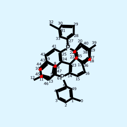 Cc1cccc(P(c2cccc(C)c2)c2ccc3ccccc3c2-c2c(P(c3cccc(C)c3)c3cccc(C)c3)ccc3ccccc23)c1